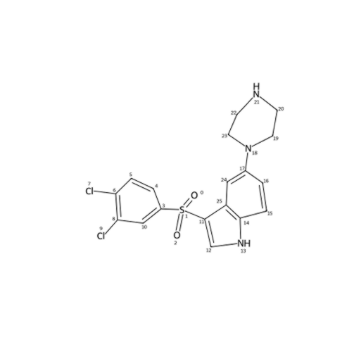 O=S(=O)(c1ccc(Cl)c(Cl)c1)c1c[nH]c2ccc(N3CCNCC3)cc12